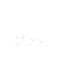 CC(C)CN1CCC(N(C)C)C(F)(F)C1